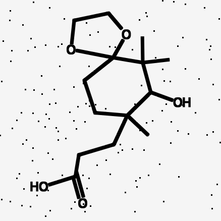 CC1(CCC(=O)O)CCC2(OCCO2)C(C)(C)C1O